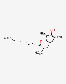 CCCCCCCCCCCCCCCCCC(=O)C(Cc1cc(C(C)(C)C)c(O)c(C(C)(C)C)c1)C(=O)O